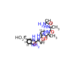 CC(N)C(=O)NC(C)C(=O)NC(C)C(=O)N1CCCC1C(=O)NC(C(=O)Nc1cc(C(=O)O)ccc1N)C(C)C